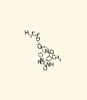 Cc1cc2[nH]c(=O)c3cnn(C4CCCC4)c3c2cc1C(=O)N1CCC(OCCOCC(C)F)CC1